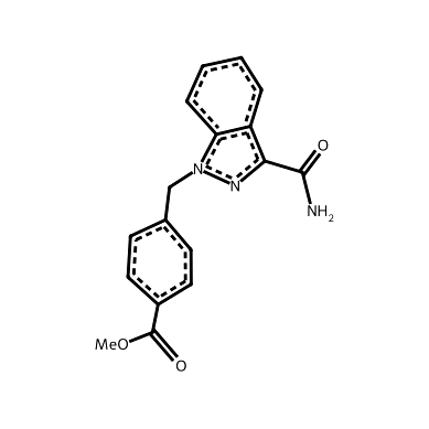 COC(=O)c1ccc(Cn2nc(C(N)=O)c3ccccc32)cc1